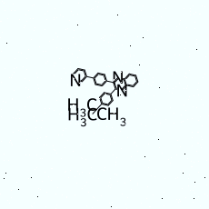 CC(C)(C)c1ccc(-c2nc3ccccc3nc2-c2ccc(-c3cccnc3)cc2)cc1